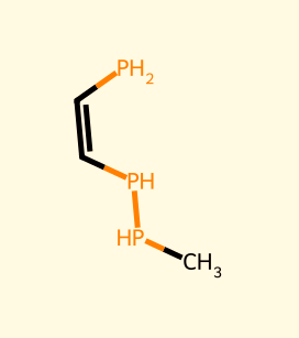 CPP/C=C\P